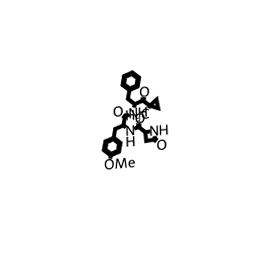 COc1ccc(CC(NC(=O)C2CC(=O)N2)C(=O)NC(Cc2ccccc2)C(=O)C2(C)CC2)cc1